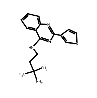 CC(C)(N)CCNc1nc(-c2ccsc2)nc2ccccc12